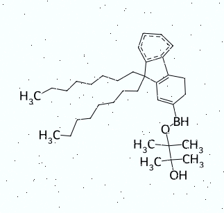 CCCCCCCCC1(CCCCCCCC)C2=C(CCC(BOC(C)(C)C(C)(C)O)=C2)c2ccccc21